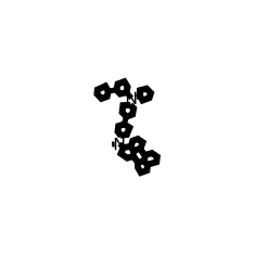 CN(c1ccc(-c2ccc(N(c3ccccc3)c3cccc(-c4ccccc4)c3)cc2)cc1)c1ccc2c3cccc4cccc(c5cccc1c52)c43